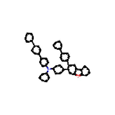 c1ccc(-c2ccc(-c3ccc(N(c4ccccc4)c4ccc(-c5cc6oc7ccccc7c6cc5-c5ccc(-c6ccccc6)cc5)cc4)cc3)cc2)cc1